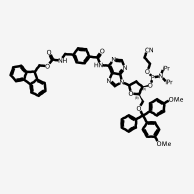 COc1ccc(C(OC[C@H]2OC(n3cnc4c(NC(=O)c5ccc(CNC(=O)OCC6c7ccccc7-c7ccccc76)cc5)ncnc43)C[C@H]2OP(OCCC#N)N(C(C)C)C(C)C)(c2ccccc2)c2ccc(OC)cc2)cc1